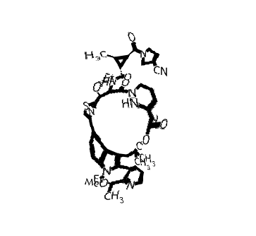 CCO[C@@H]1c2nc(cs2)-c2ccc3c(c2)c(c(-c2cccnc2[C@H](C)OC)n3CC)CC(C)(C)COC(=O)[C@@H]2CCCN(N2)C(=O)C1NC(=O)[C@@H]1[C@@H](C)[C@H]1C(=O)N1CC=C(C#N)C1